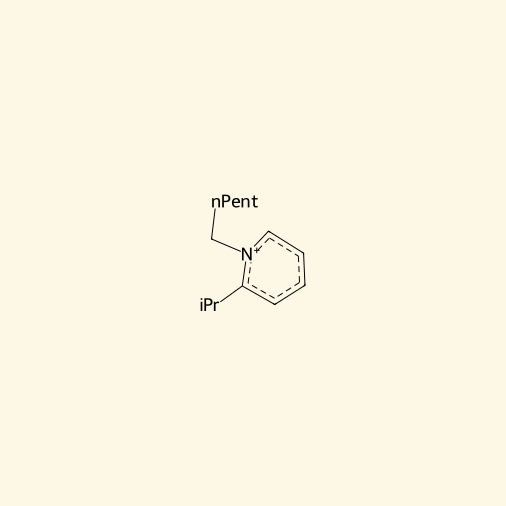 CCCCCC[n+]1ccccc1C(C)C